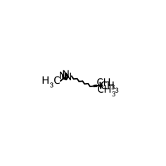 CCc1cn(CCCCCCCCC#CC(C)(C)C)nn1